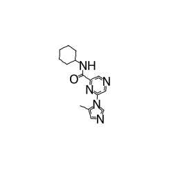 Cc1cncn1-c1cncc(C(=O)NC2CCCCC2)n1